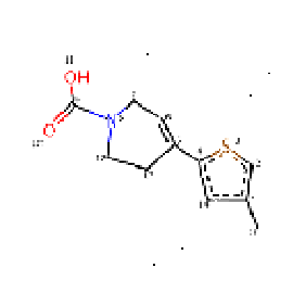 Cc1csc(C2=CCN(C(=O)O)CC2)c1